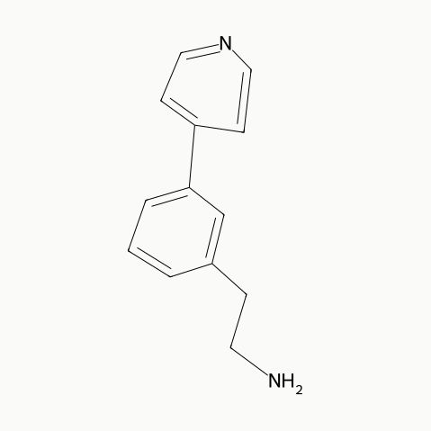 NCCc1cccc(-c2ccncc2)c1